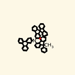 CC1(c2ccccc2)c2ccccc2-c2c(N(c3ccc4c(c3)-c3ccccc3C43c4ccccc4-c4ccccc43)c3ccc4c5ccccc5c5ccccc5c4c3)cccc21